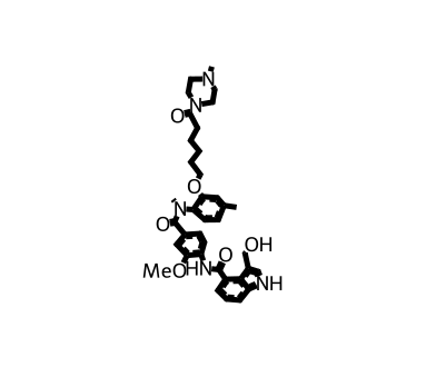 COc1cc(C(=O)N(C)c2ccc(C)cc2OCCCCCC(=O)N2CCN(C)CC2)ccc1NC(=O)c1cccc2[nH]cc(CO)c12